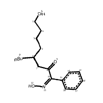 CCCCC(CCCCO)CC(=O)C(=NO)c1ccccc1